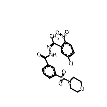 CC(=NNC(=O)c1cccc(S(=O)(=O)N2CCOCC2)c1)c1cc(Cl)ccc1[N+](=O)[O-]